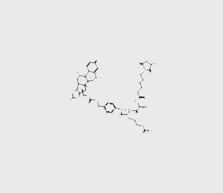 CCCC1O[C@@H]2C[C@H]3[C@@H]4C[C@H](F)C5=CC(=O)C=C[C@]5(C)[C@@]4(F)[C@@H](O)C[C@]3(C)[C@]2(C(=O)COC(=O)OCc2ccc(NC(=O)[C@H](CCCNC(N)=O)NC(=O)C(NC(=O)CCCCCN3C(=O)CC(S)C3=O)C(C)C)cc2)O1